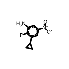 Nc1cc([N+](=O)[O-])cc(C2CC2)c1F